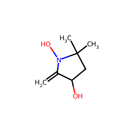 C=C1C(O)CC(C)(C)N1O